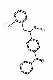 Cc1ccccc1CC(SS)c1ccc(C(=O)c2ccccc2)cc1